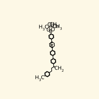 C=C(CCc1ccc(C)cc1)c1ccc(-c2ccc(C34CCC(c5ccc(B6OC(C)(C)C(C)(C)O6)cc5)(CC3)CC4)cc2)cc1